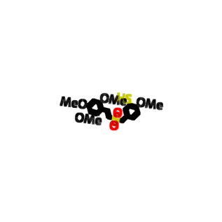 COc1cc(OC)c(/C=C/S(=O)(=O)Cc2ccc(OC)c(S)c2)c(OC)c1